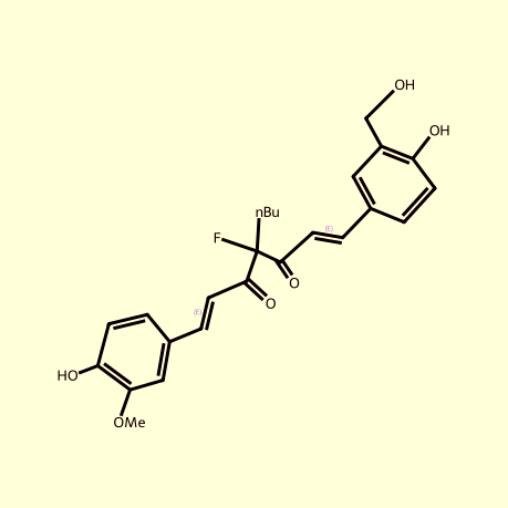 CCCCC(F)(C(=O)/C=C/c1ccc(O)c(CO)c1)C(=O)/C=C/c1ccc(O)c(OC)c1